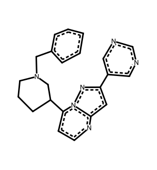 c1ccc(CN2CCCC(c3ccnc4cc(-c5cncnc5)nn34)C2)cc1